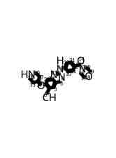 C#Cc1cc2cnc(Nc3ccc(C(=O)N4CCOCC4)cc3)nc2cc1OC1CCNCC1